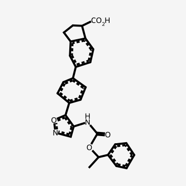 CC(OC(=O)Nc1cnoc1-c1ccc(-c2ccc3c(c2)CCC3C(=O)O)cc1)c1ccccc1